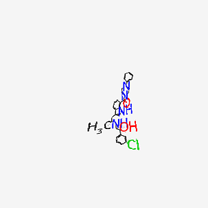 C[C@H](Cc1c[nH]c2c(C(=O)N3CCN(c4ccccc4)CC3)cccc12)NC[C@H](O)c1cccc(Cl)c1